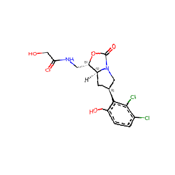 O=C(CO)NC[C@@H]1OC(=O)N2C[C@@H](c3c(O)ccc(Cl)c3Cl)C[C@@H]12